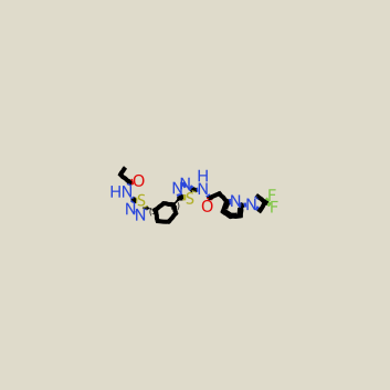 CCC(=O)Nc1nnc([C@H]2CCC[C@H](c3nnc(NC(=O)Cc4cccc(N5CC(F)(F)C5)n4)s3)C2)s1